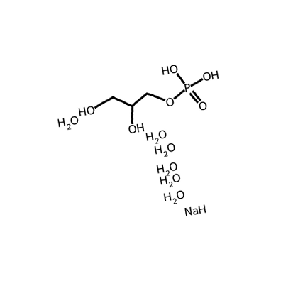 O.O.O.O.O.O.O=P(O)(O)OCC(O)CO.[NaH]